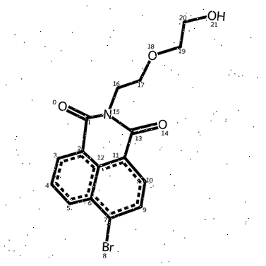 O=C1c2cccc3c(Br)ccc(c23)C(=O)N1CCOCCO